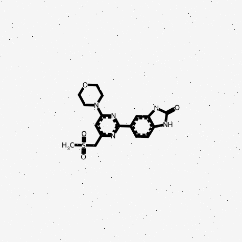 CS(=O)(=O)Cc1cc(N2CCOCC2)nc(-c2ccc3c(c2)[N]C(=O)N3)n1